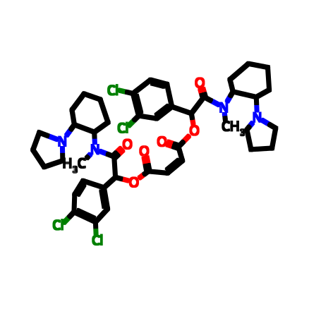 CN(C(=O)C(OC(=O)/C=C\C(=O)OC(C(=O)N(C)C1CCCCC1N1CCCC1)c1ccc(Cl)c(Cl)c1)c1ccc(Cl)c(Cl)c1)C1CCCCC1N1CCCC1